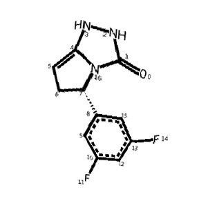 O=C1NNC2=CC[C@@H](c3cc(F)cc(F)c3)N12